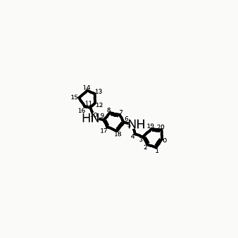 c1ccc(CNc2ccc(NC3CCCCC3)cc2)cc1